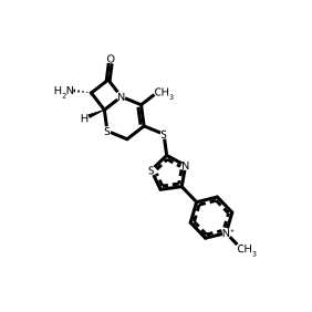 CC1=C(Sc2nc(-c3cc[n+](C)cc3)cs2)CS[C@@H]2[C@H](N)C(=O)N12